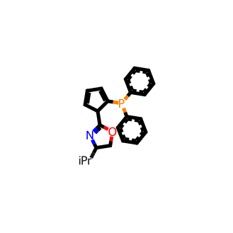 CC(C)C1COC(C2C=CC=C2P(c2ccccc2)c2ccccc2)=N1